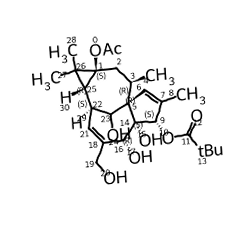 CC(=O)O[C@@]12C[C@@H](C)[C@]34C=C(C)[C@H](OC(=O)C(C)(C)C)[C@@]3(O)[C@H](O)C(CO)=C[C@H](C4O)[C@@H]1C2(C)C